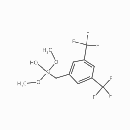 CO[Si](O)(Cc1cc(C(F)(F)F)cc(C(F)(F)F)c1)OC